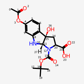 CC(=O)Oc1ccc2c(c1)N[C@H]1N(C(=O)OC(C)(C)C)C(C(=O)O)C[C@@]21O